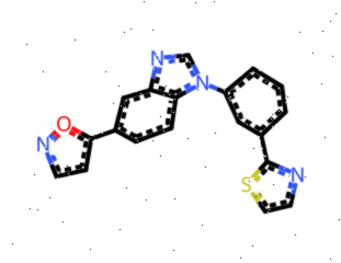 c1cc(-c2nccs2)cc(-n2cnc3cc(-c4ccno4)ccc32)c1